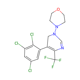 FC(F)(F)C1=C(c2cc(Cl)cc(Cl)c2Cl)CN(N2CCOCC2)C=N1